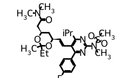 CCC1(C)O[C@@H](CC(=O)N(C)C)C[C@@H](/C=C/c2c(-c3ccc(F)cc3)nc(N(C)S(C)(=O)=O)nc2C(C)C)O1